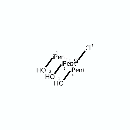 CCCC(C)O.CCCC(C)O.CCCC(C)O.[SiH3]Cl